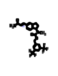 CN(C(=O)OCc1cc(C(F)(F)F)cc(C(F)(F)F)c1)C1CCc2cc(/C=C/C(N)=O)ccc21